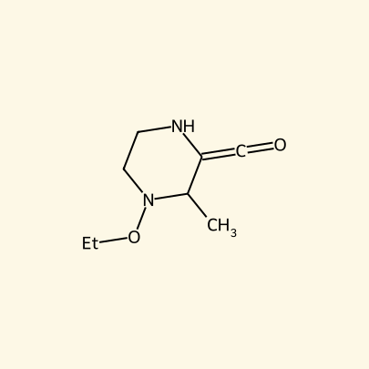 CCON1CCNC(=C=O)C1C